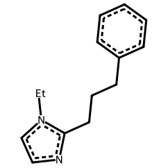 CCn1ccnc1CCCc1ccccc1